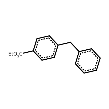 CCOC(=O)c1ccc([CH]c2ccccc2)cc1